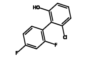 Oc1cccc(Cl)c1-c1ccc(F)cc1F